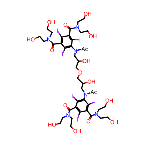 CC(=O)N(CC(O)COCC(O)CN(C(C)=O)c1c(I)c(C(=O)N(CCO)CCO)c(I)c(C(=O)N(CCO)CCO)c1I)c1c(I)c(C(=O)N(CCO)CCO)c(I)c(C(=O)N(CCO)CCO)c1I